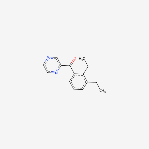 CCc1cccc(C(=O)c2cnccn2)c1CC